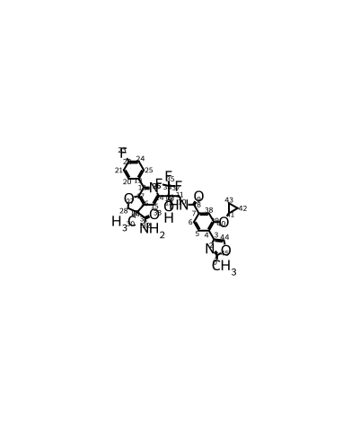 Cc1nc(-c2ccc(C(=O)NC[C@](O)(c3cc4c(c(-c5ccc(F)cc5)n3)OC[C@]4(C)C(N)=O)C(F)(F)F)cc2OC2CC2)co1